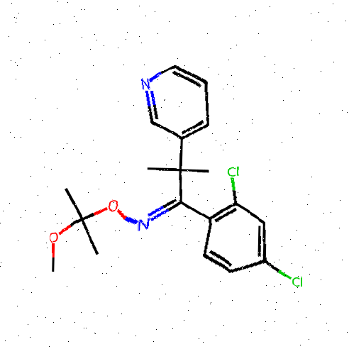 COC(C)(C)ON=C(c1ccc(Cl)cc1Cl)C(C)(C)c1cccnc1